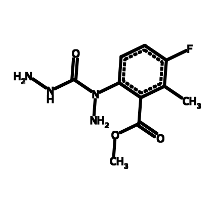 COC(=O)c1c(N(N)C(=O)NN)ccc(F)c1C